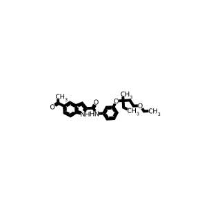 CCOCCC(C)(CC)Oc1cccc(NC(=O)c2cc3cc(C(C)=O)ccc3[nH]2)c1